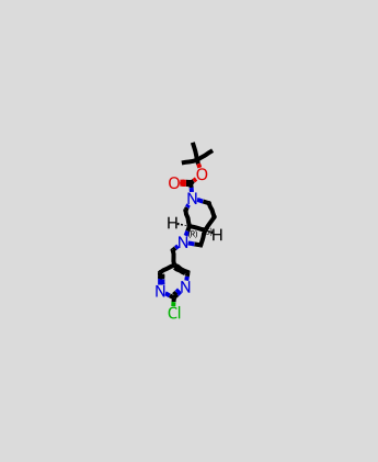 CC(C)(C)OC(=O)N1CC[C@H]2CN(Cc3cnc(Cl)nc3)[C@H]2C1